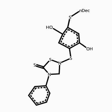 CCCCCCCCCCSc1cc(O)c(SN2CN(c3ccccc3)C(=S)S2)cc1O